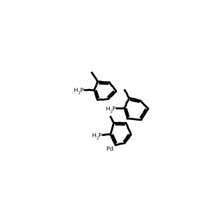 Cc1ccccc1P.Cc1ccccc1P.Cc1ccccc1P.[Pd]